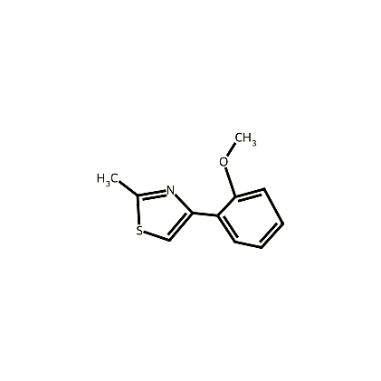 COc1ccccc1-c1csc(C)n1